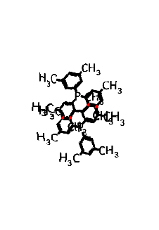 Cc1cc(C)cc(P(c2cc(C)cc(C)c2)c2cc(C)cc(C)c2-c2c(C)cc(C)cc2P(c2cc(C)cc(C)c2)c2cc(C)cc(C)c2)c1